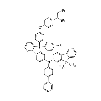 CC(C)CC(c1ccc(Oc2ccc(C3(c4ccc(C(C)C)cc4)c4ccccc4-c4ccc(N(c5ccc(-c6ccccc6)cc5)c5ccc6c(c5)C(C)(C)c5ccccc5-6)cc43)cc2)cc1)C(C)C